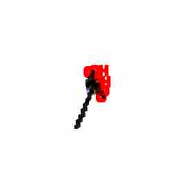 CCCCCCCCCCCCC/C=C1\CC[C@@H](CCC(=O)O)[C@H](O)[C@H]1SCC(=O)OC